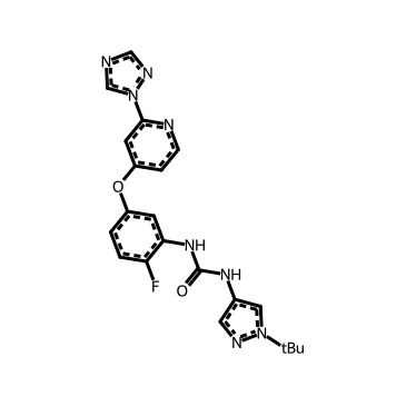 CC(C)(C)n1cc(NC(=O)Nc2cc(Oc3ccnc(-n4cncn4)c3)ccc2F)cn1